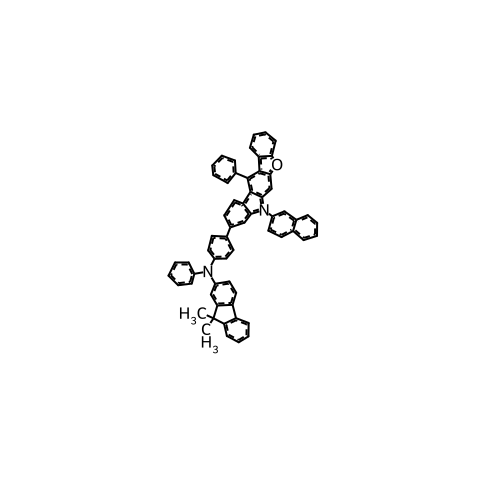 CC1(C)c2ccccc2-c2ccc(N(c3ccccc3)c3ccc(-c4ccc5c6c(-c7ccccc7)c7c(cc6n(-c6ccc8ccccc8c6)c5c4)oc4ccccc47)cc3)cc21